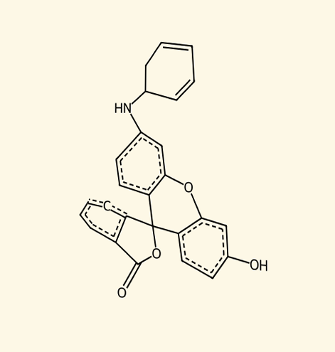 O=C1OC2(c3ccc(O)cc3Oc3cc(NC4C=CC=CC4)ccc32)c2ccccc21